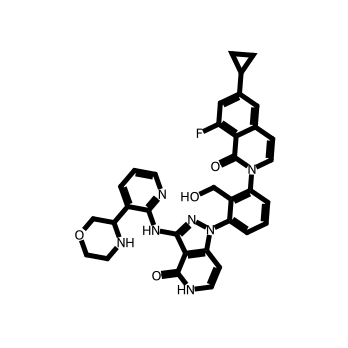 O=c1[nH]ccc2c1c(Nc1ncccc1C1COCCN1)nn2-c1cccc(-n2ccc3cc(C4CC4)cc(F)c3c2=O)c1CO